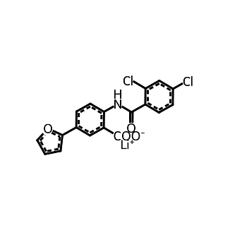 O=C(Nc1ccc(-c2ccco2)cc1C(=O)[O-])c1ccc(Cl)cc1Cl.[Li+]